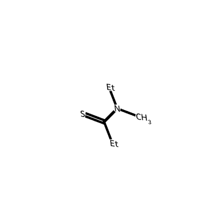 CCC(=S)N(C)CC